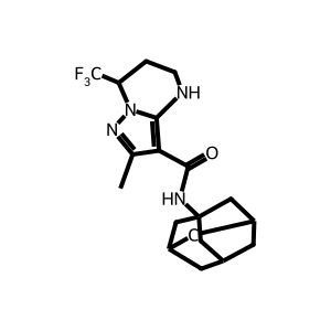 Cc1nn2c(c1C(=O)NC13CC4CC(CC(C4)C1)C3)NCCC2C(F)(F)F